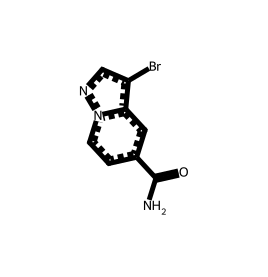 NC(=O)c1ccn2ncc(Br)c2c1